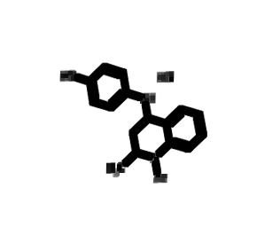 CC(=O)N1c2ccccc2C(Nc2ccc(O)cc2)CC1C.Cl